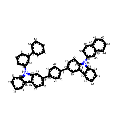 c1ccc(-c2cccc(-n3c4ccccc4c4ccc(-c5ccc(-c6ccc7c(c6)c6ccccc6n7-c6ccc7ccccc7c6)cc5)cc43)c2)cc1